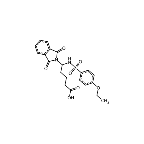 CCOc1ccc(S(=O)(=O)NC(CCCC(=O)O)N2C(=O)c3ccccc3C2=O)cc1